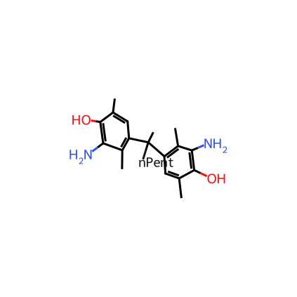 CCCCCC(C)(c1cc(C)c(O)c(N)c1C)c1cc(C)c(O)c(N)c1C